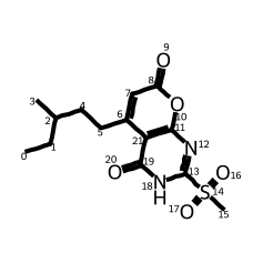 CCC(C)CCc1cc(=O)oc2nc(S(C)(=O)=O)[nH]c(=O)c12